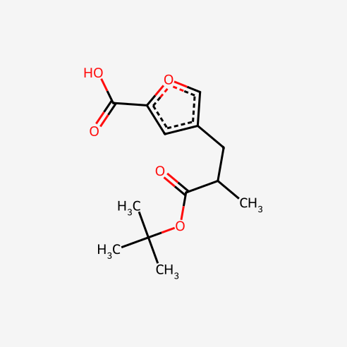 CC(Cc1coc(C(=O)O)c1)C(=O)OC(C)(C)C